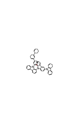 C1=CC(C2=CC(c3cccc(-n4c5ccccc5c5cccc(-n6c7ccccc7c7cc(-n8c9c(c%10ccccc%108)CCC=C9)ccc76)c54)c3)=CCC2)CCC1